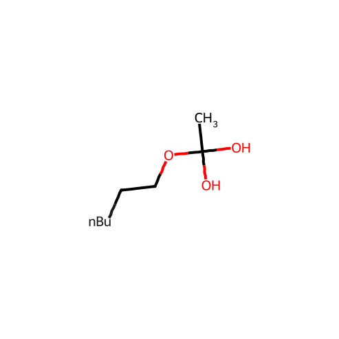 CCCCCCOC(C)(O)O